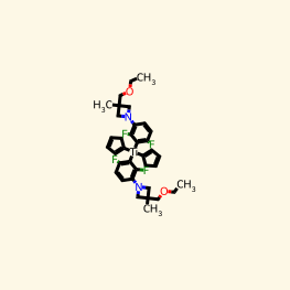 CCOCC1(C)CN(c2ccc(F)[c]([Ti]([C]3=CC=CC3)([C]3=CC=CC3)[c]3c(F)ccc(N4CC(C)(COCC)C4)c3F)c2F)C1